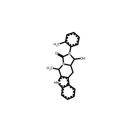 Cc1ccccc1N1C(=O)N2C(C)c3[nH]c4ccccc4c3CC2C1O